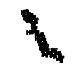 O=S(=O)(c1cccc(-c2ccc(CN3CCC3)cc2)c1)N1CCC2(CC1)CC(NCC(O)COc1cccc(S(=O)(=O)C3(CO)CC3)c1)CO2